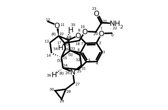 COc1ccc2c3c1O[C@H]1[C@@]4(OC)CC[C@@]5(C[C@@H]4COCC(N)=O)[C@@H](C2)N(CC2CC2)CC[C@]315